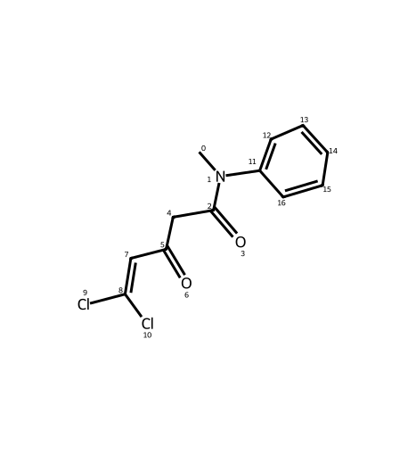 CN(C(=O)CC(=O)C=C(Cl)Cl)c1ccccc1